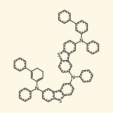 C1=C(c2ccccc2)CCC=C1N(c1ccccc1)c1ccc2sc3ccc(N(c4ccccc4)c4ccc5sc6ccc(N(c7ccccc7)c7cccc(-c8ccccc8)c7)cc6c5c4)cc3c2c1